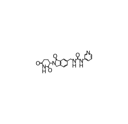 O=C1CCC(N2Cc3ccc(CNC(=O)Nc4cccnc4)cc3C2=O)C(=O)N1